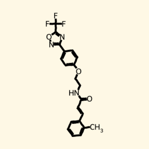 Cc1ccccc1C=CC(=O)NCCOc1ccc(-c2noc(C(F)(F)F)n2)cc1